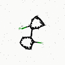 Brc1[c]cccc1-c1ccc[c]c1Br